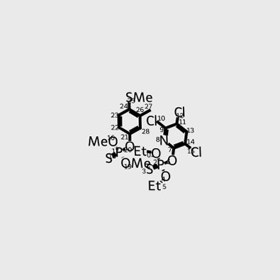 CCOP(=S)(OCC)Oc1nc(Cl)c(Cl)cc1Cl.COP(=S)(OC)Oc1ccc(SC)c(C)c1